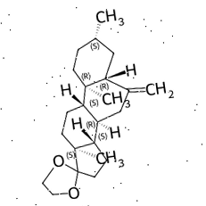 C=C1C[C@@H]2[C@H](CC[C@@]3(C)[C@H]2CCC32OCCO2)[C@@]2(C)CC[C@H](C)C[C@H]12